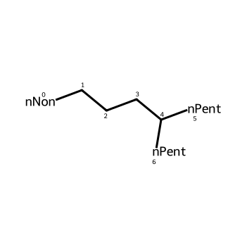 [CH2]CCCCCCCCCCCC(CCCCC)CCCCC